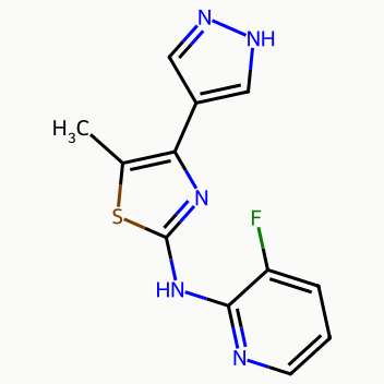 Cc1sc(Nc2ncccc2F)nc1-c1cn[nH]c1